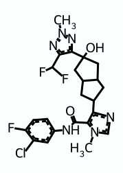 Cn1nc(C(F)F)c(C2(O)CC3CC(c4ncn(C)c4C(=O)Nc4ccc(F)c(Cl)c4)CC3C2)n1